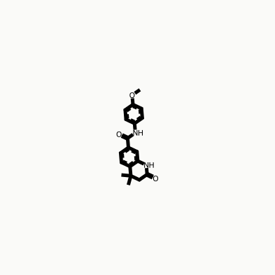 COc1ccc(NC(=O)c2ccc3c(c2)NC(=O)CC3(C)C)cc1